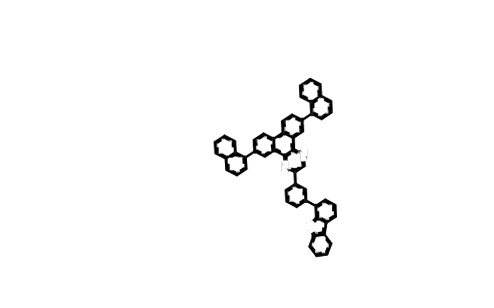 c1cc(-c2cnc3c4cc(-c5cccc6ccccc56)ccc4c4ccc(-c5cccc6ccccc56)cc4c3n2)cc(-c2cccc3c2sc2ccccc23)c1